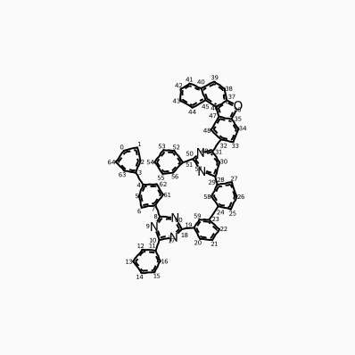 c1ccc(-c2ccc(-c3nc(-c4ccccc4)nc(-c4cccc(-c5cccc(-c6cc(-c7ccc8oc9ccc%10ccccc%10c9c8c7)nc(-c7ccccc7)n6)c5)c4)n3)cc2)cc1